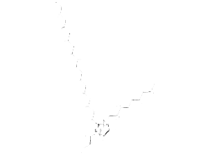 CCCCCCCCCCCCCCCCCCCC1N(CCC)C=CN1CCCCCCCCC